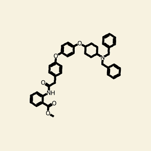 COC(=O)c1ccccc1NC(=O)Cc1ccc(Oc2ccc(OC3CCC(N(Cc4ccccc4)Cc4ccccc4)CC3)cc2)cc1